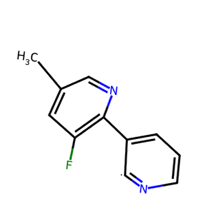 Cc1cnc(-c2[c]nccc2)c(F)c1